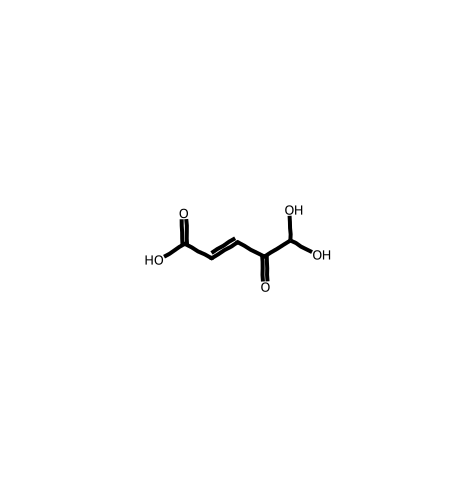 O=C(O)C=CC(=O)C(O)O